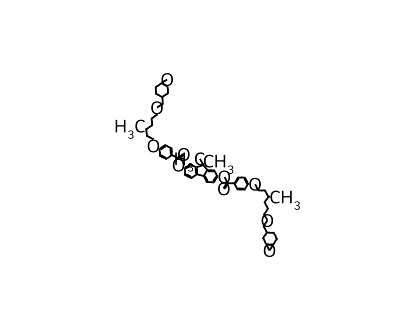 CC(CCCOCC1CCC2OC2C1)CCOc1ccc(C(=O)Oc2ccc3c(c2)C(C)(C)c2cc(OC(=O)c4ccc(OCCC(C)CCCOCC5CCC6OC6C5)cc4)ccc2-3)cc1